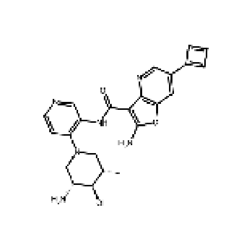 C[C@H]1CN(c2ccncc2NC(=O)c2c(N)oc3cc(C4=CC=C4)cnc23)C[C@@H](N)[C@@H]1O